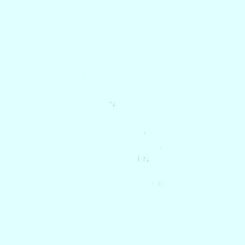 O=C(COc1ccc(-c2cc(-c3ccccc3)c3cc(Cl)ccc3n2)cc1)NCCO